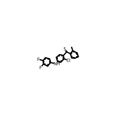 Cc1ccccc1C(=S)c1ccc(Nc2ccc(F)c(F)c2)cc1Cl